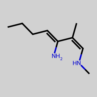 CCC/C=C(N)/C(C)=C\NC